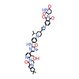 CC(C)[C@H]1CC(C2CN(c3ccc4c(c3)C(=O)N(C3CCC(=O)NC3=O)C4=O)C2)CCN1c1ccc(Nc2nc(-c3ccnc(N4CCn5c(cc6c5CC(C)(C)C6)C4=O)c3CO)cn(C)c2=O)cc1